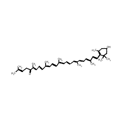 CC(C)=CCC(=O)/C(C)=C/C=C/C(C)=C/C=C/C(C)=C/C=C/C=C(C)/C=C/C=C(C)/C=C/C1=C(C)CC(O)CC1(C)C